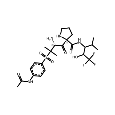 CC(=O)Nc1ccc(S(=O)(=O)C(C)(C)[C@H](N)C(=O)[C@]2(C(=O)NC(C(C)C)C(O)C(F)(F)F)CCCN2)cc1